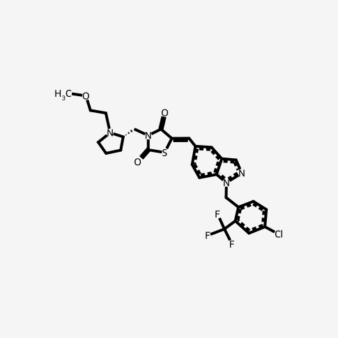 COCCN1CCC[C@H]1CN1C(=O)S/C(=C\c2ccc3c(cnn3Cc3ccc(Cl)cc3C(F)(F)F)c2)C1=O